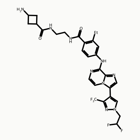 CCc1cc(Nc2nccn3c(-c4cn(CC(F)F)nc4C(F)(F)F)cnc23)ccc1C(=O)NCCNC(=O)C1CC(N)C1